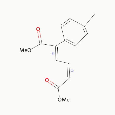 COC(=O)/C=C\C=C(\C(=O)OC)c1ccc(C)cc1